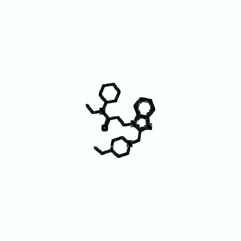 CCC1CCN(Cc2nc3ccccc3n2CCC(=O)N(CC)C2CCCCC2)CC1